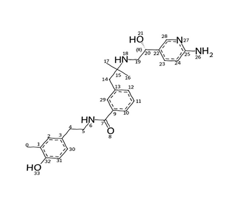 Cc1cc(CCNC(=O)c2cccc(CC(C)(C)NC[C@H](O)c3ccc(N)nc3)c2)ccc1O